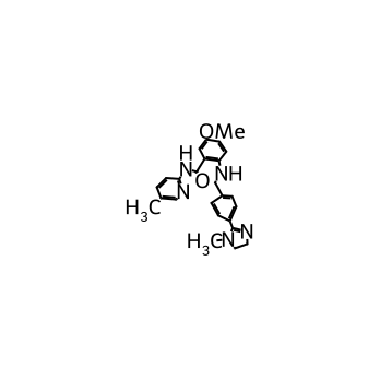 COc1ccc(NCc2ccc(C3=NCCN3C)cc2)c(C(=O)Nc2ccc(C)cn2)c1